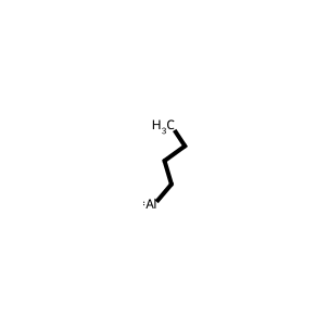 CCC[CH2][Al]